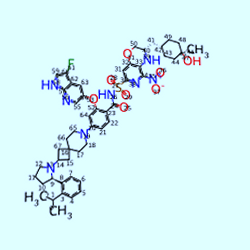 CC(C)c1ccccc1[C@H]1CCCN1C1CC2(CCN(c3ccc(C(=O)NS(=O)(=O)c4cc5c(c([N+](=O)[O-])n4)N[C@@H](C[C@H]4CC[C@](C)(O)CC4)CO5)c(Oc4cnc5[nH]cc(F)c5c4)c3)CC2)C1